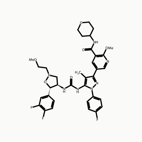 COCCN1C[C@@H](NC(=O)Nc2c(C)c(-c3cnc(OC)c(C(=O)NC4CCOCC4)c3)nn2-c2ccc(F)cc2)[C@H](c2ccc(F)c(F)c2)O1